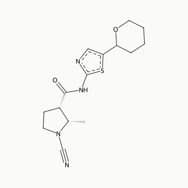 C[C@H]1[C@@H](C(=O)Nc2ncc(C3CCCCO3)s2)CCN1C#N